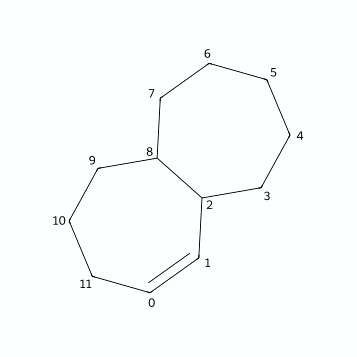 C1=CC2CCCCCC2CCC1